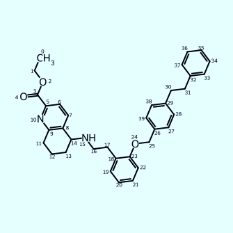 CCOC(=O)c1ccc2c(n1)CCCC2NCCc1ccccc1OCc1ccc(CCc2ccccc2)cc1